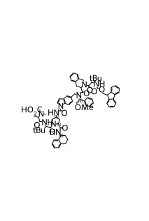 COC[C@H](c1ccccc1)N(Cc1ccc2c(ccn2C(=O)N[C@H]2C[C@@H](C(=O)N[C@@H]3CCCc4ccccc43)N(C(=O)C(NC(=O)C(C)N(C)C(=O)O)C(C)(C)C)C2)c1)C(=O)C1Cc2ccccc2CN1C(=O)C(NC(=O)OCC1c2ccccc2-c2ccccc21)C(C)(C)C